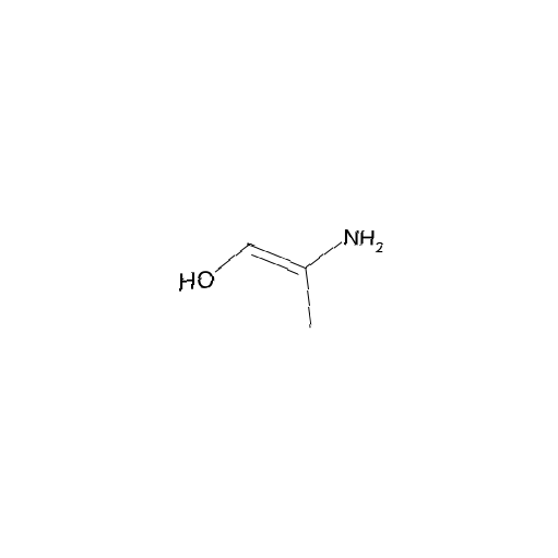 C/C(N)=C\O